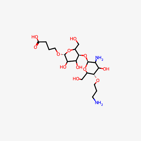 NCCCO[C@@H]1C(CO)O[C@@H](O[C@@H]2C(CO)O[C@@H](OCCCC(=O)O)C(O)C2O)C(N)C1O